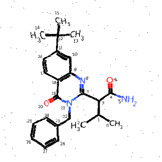 CC(C)C(C(N)=O)c1nc2cc(C(C)(C)C)ccc2c(=O)n1Cc1ccccc1